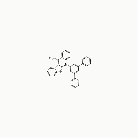 Cc1c2c3ccccc3nc-2n(-c2cc(-c3ccccc3)cc(-c3ccccc3)c2)c2ccccc12